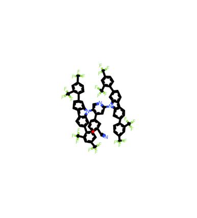 N#Cc1cccc(-c2cc(-n3c4cc(-c5ccc(C(F)(F)F)cc5C(F)(F)F)ccc4c4ccc(-c5ccc(C(F)(F)F)cc5C(F)(F)F)cc43)ncc2-n2c3cc(-c4ccc(C(F)(F)F)cc4C(F)(F)F)ccc3c3ccc(-c4ccc(C(F)(F)F)cc4C(F)(F)F)cc32)c1